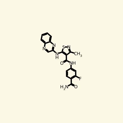 Cc1nsc(Nc2cnc3ccccc3n2)c1C(=O)Nc1ccc(C(N)=O)c(F)c1